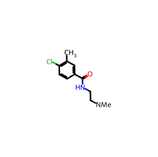 CNCCNC(=O)c1ccc(Cl)c(C)c1